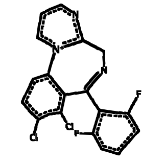 Fc1cccc(F)c1C1=NCc2nccc[n+]2-c2ccc(Cl)c(Cl)c21